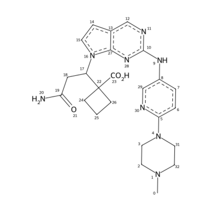 CN1CCN(c2ccc(Nc3ncc4ccn(C(CC(N)=O)C5(C(=O)O)CCC5)c4n3)cn2)CC1